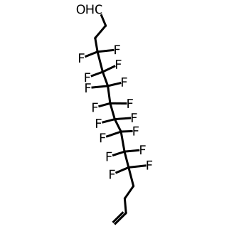 C=CCCC(F)(F)C(F)(F)C(F)(F)C(F)(F)C(F)(F)C(F)(F)C(F)(F)C(F)(F)CCC=O